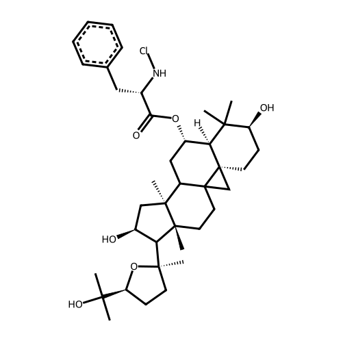 CC(C)(O)[C@@H]1CC[C@](C)(C2[C@@H](O)C[C@@]3(C)C4C[C@H](OC(=O)[C@H](Cc5ccccc5)NCl)[C@H]5C(C)(C)[C@@H](O)CC[C@@]56CC46CC[C@]23C)O1